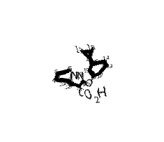 O=C(O)c1cc2cccn2nc1Oc1cccc(C2CC2)c1